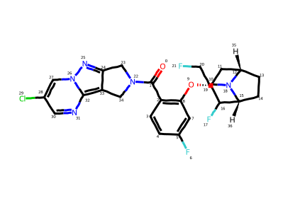 O=C(c1ccc(F)cc1O[C@@H]1C[C@@H]2CC[C@H](C1F)N2CCF)N1Cc2nn3cc(Cl)cnc3c2C1